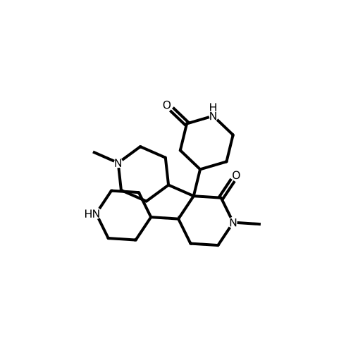 CN1CCC(C2(C3CCNC(=O)C3)[C](C3CCNCC3)CCN(C)C2=O)CC1